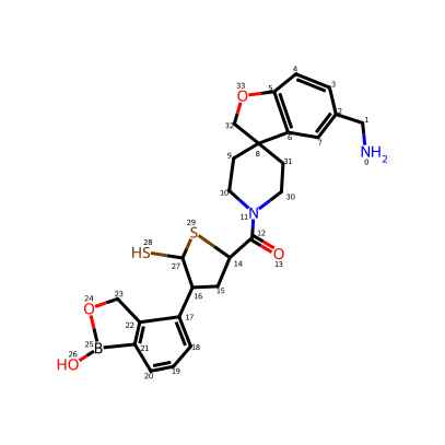 NCc1ccc2c(c1)C1(CCN(C(=O)C3CC(c4cccc5c4COB5O)C(S)S3)CC1)CO2